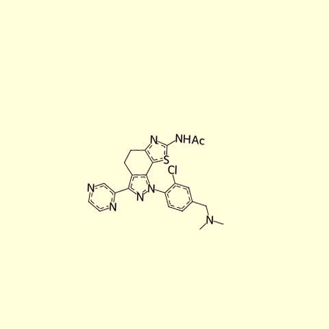 CC(=O)Nc1nc2c(s1)-c1c(c(-c3cnccn3)nn1-c1ccc(CN(C)C)cc1Cl)CC2